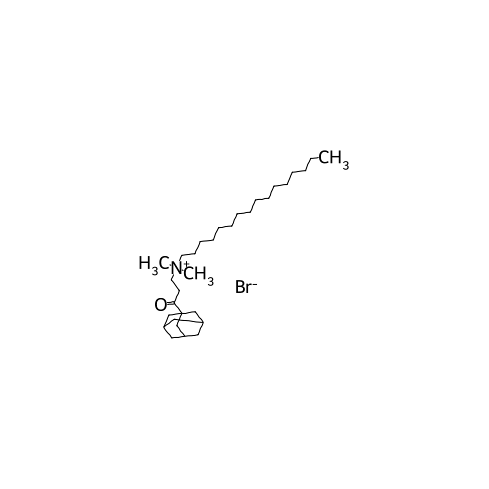 CCCCCCCCCCCCCCCC[N+](C)(C)CCC(=O)C12CC3CC(CC(C3)C1)C2.[Br-]